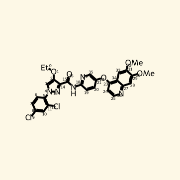 CCOc1cn(-c2ccc(Cl)cc2Cl)nc1C(=O)Nc1ccc(Oc2ccnc3cc(OC)c(OC)cc23)cn1